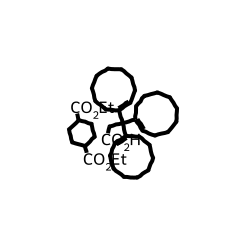 CCOC(=O)C1CCC(C(=O)OCC)CC1.O=C(O)CC(C1=CCCCCCCCC1)(C1=CCCCCCCCC1)C1=CCCCCCCCC1